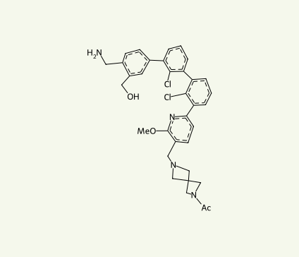 COc1nc(-c2cccc(-c3cccc(-c4ccc(CN)c(CO)c4)c3Cl)c2Cl)ccc1CN1CC2(C1)CN(C(C)=O)C2